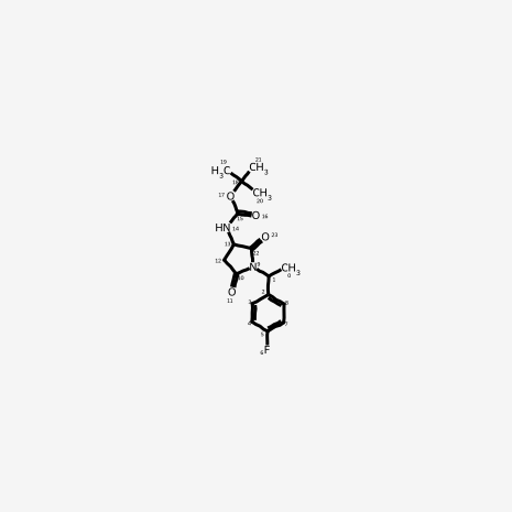 CC(c1ccc(F)cc1)N1C(=O)CC(NC(=O)OC(C)(C)C)C1=O